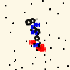 C[C@H]1Cc2ccccc2[C@H]1Nc1ncnc2c1ccn2[C@H]1C[C@H](CNS(=O)(=O)O)[C@H](O)C1